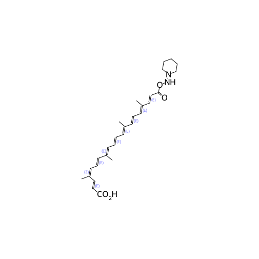 CC(=C/C=C/C(C)=C/C=C/C=C(C)/C=C/C=C(C)/C=C/C(=O)ONN1CCCCC1)/C=C/C(=O)O